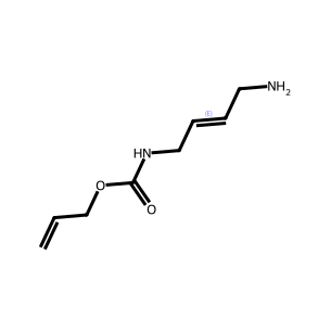 C=CCOC(=O)NC/C=C/CN